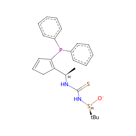 C[C@@H](NC(=S)N[S@@+]([O-])C(C)(C)C)C1=C(P(c2ccccc2)c2ccccc2)C=CC1